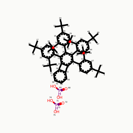 CC(C)(C)c1ccc(-c2c3c(c(-c4ccc(C(C)(C)C)cc4C(C)(C)C)c(-c4ccc(C(C)(C)C)cc4C(C)(C)C)c2-c2ccc(C(C)(C)C)cc2C(C)(C)C)-c2ccccc2-3)c(C(C)(C)C)c1.O=[PH](O)O.O=[PH](O)O